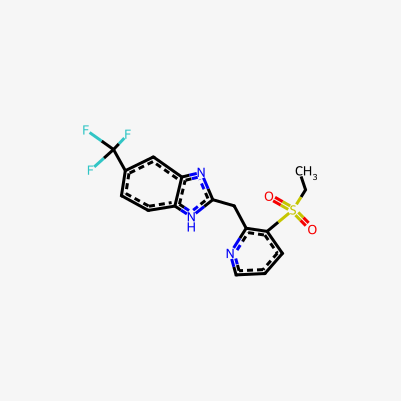 CCS(=O)(=O)c1cccnc1Cc1nc2cc(C(F)(F)F)ccc2[nH]1